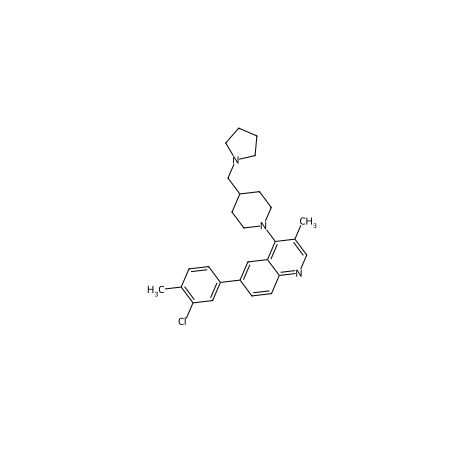 Cc1ccc(-c2ccc3ncc(C)c(N4CCC(CN5CCCC5)CC4)c3c2)cc1Cl